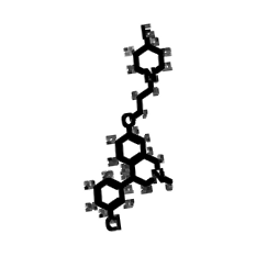 CN1Cc2cc(OCCCN3CCC(F)CC3)ccc2C(c2cccc(Cl)c2)C1